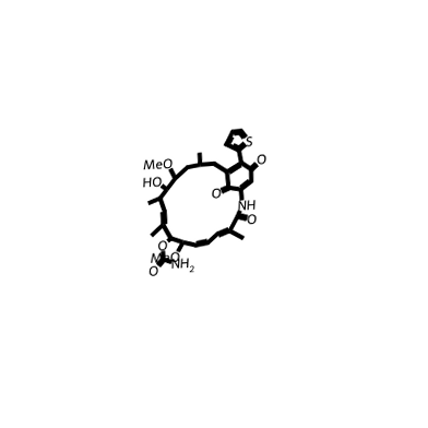 COC1/C=C\C=C(/C)C(=O)NC2=CC(=O)C(c3cccs3)=C(CC(C)CC(OC)C(O)C(C)/C=C(\C)C1OC(N)=O)C2=O